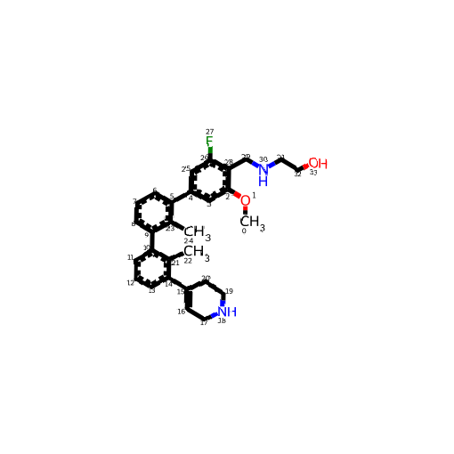 COc1cc(-c2cccc(-c3cccc(C4=CCNCC4)c3C)c2C)cc(F)c1CNCCO